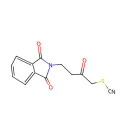 N#CSCC(=O)CCN1C(=O)c2ccccc2C1=O